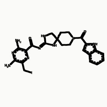 Nc1nc(N)c(C(=O)/N=C2\NCC3(CCN(C(=O)c4cc5ccccc5[nH]4)CC3)N2)nc1CI